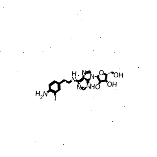 Nc1ccc(CCNc2ncnc3c2ncn3[C@@H]2O[C@H](CO)C(O)C2O)cc1I